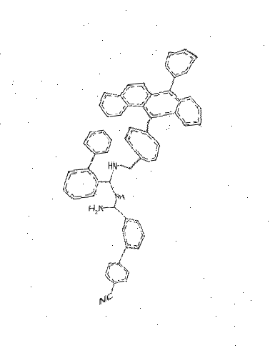 N#Cc1ccc(-c2cccc(C(N)NC(NCc3ccc(-c4c5ccccc5c(-c5ccccc5)c5ccc6ccccc6c45)cc3)c3ccccc3-c3ccccc3)c2)cc1